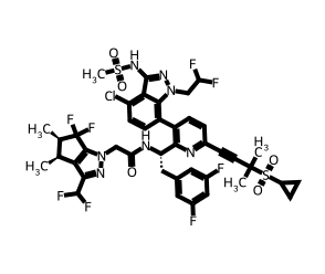 C[C@@H]1c2c(C(F)F)nn(CC(=O)N[C@@H](Cc3cc(F)cc(F)c3)c3nc(C#CC(C)(C)S(=O)(=O)C4CC4)ccc3-c3ccc(Cl)c4c(NS(C)(=O)=O)nn(CC(F)F)c34)c2C(F)(F)[C@@H]1C